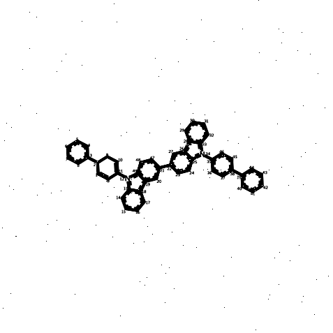 C1=CC(c2ccccc2)CC=C1n1c2ccccc2c2cc(-c3ccc4c(c3)c3ccccc3n4-c3ccc(-c4ccccc4)cc3)ccc21